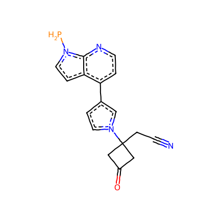 N#CCC1(n2ccc(-c3ccnc4c3ccn4P)c2)CC(=O)C1